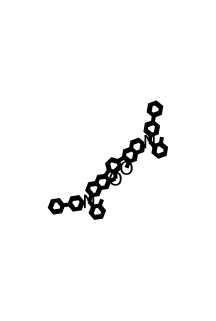 Cc1ccccc1N(c1ccc(-c2ccccc2)cc1)c1ccc2cc3c(cc2c1)oc1c3ccc2c3cc4ccc(N(c5ccc(-c6ccccc6)cc5)c5ccccc5C)cc4cc3oc21